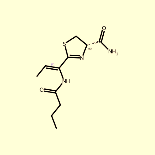 C/C=C(\NC(=O)CCC)C1=N[C@@H](C(N)=O)CS1